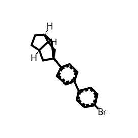 Brc1ccc(-c2ccc(C34C[C@H]5CC[C@@H](C3)[C@@H]5C4)cc2)cc1